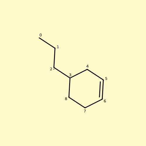 CC[CH]C1CC=CCC1